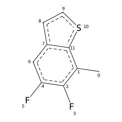 Cc1c(F)c(F)cc2ccsc12